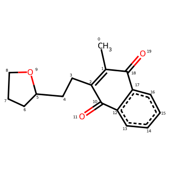 CC1=C(CCC2CCCO2)C(=O)c2ccccc2C1=O